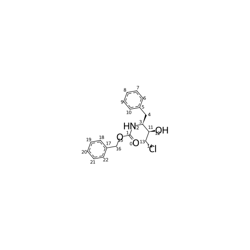 O=C(N[C@@H](Cc1ccccc1)[C@@H](O)CCl)OCc1ccccc1